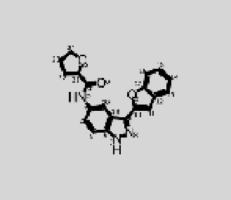 O=C(Nc1ccc2[nH]nc(-c3cc4ccccc4o3)c2c1)C1CCCO1